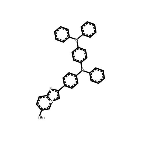 CC(C)(C)c1ccc2nc(-c3ccc(N(c4ccccc4)c4ccc(N(c5ccccc5)c5ccccc5)cc4)cc3)cn2c1